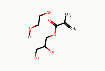 C=C(C)C(=O)OCC(O)CO.CCOCCO